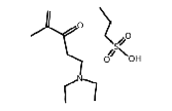 C=C(C)C(=O)CCN(CC)CC.CCCS(=O)(=O)O